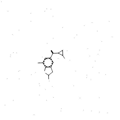 CC1Cc2cc(C(=O)C3CC3C(=O)O)cc(Cl)c2O1